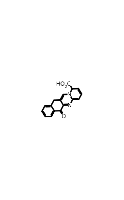 O=C1C2=NC3=CC=CC(C(=O)O)N3C=C2Cc2ccccc21